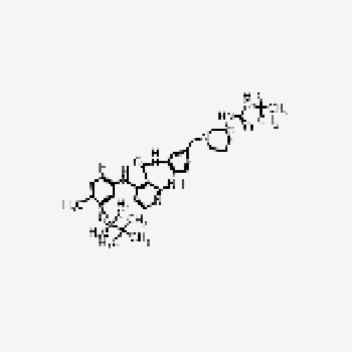 Cc1cc(F)c(Nc2ccnc3c2C(=O)Nc2cc(CN4CCC[C@H](NC(=O)OC(C)(C)C)C4)ccc2N3)cc1O[Si](C)(C)C(C)(C)C